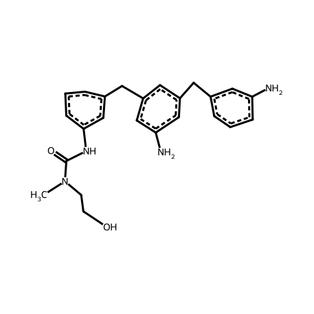 CN(CCO)C(=O)Nc1cccc(Cc2cc(N)cc(Cc3cccc(N)c3)c2)c1